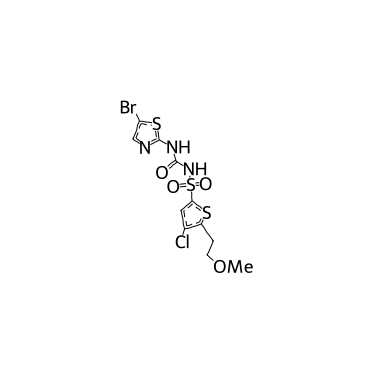 COCCc1sc(S(=O)(=O)NC(=O)Nc2ncc(Br)s2)cc1Cl